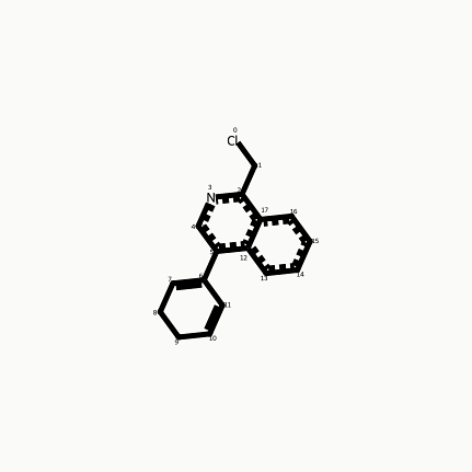 ClCc1ncc(C2=CCCC=C2)c2ccccc12